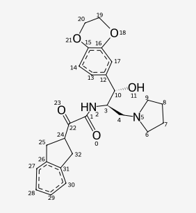 O=C(N[C@H](CN1CCCC1)[C@@H](O)c1ccc2c(c1)OCCO2)C(=O)C1Cc2ccccc2C1